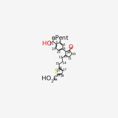 CCCCCC(O)c1ccc(C2C(=O)CCC2CCCc2ccc(C(=O)O)s2)cc1